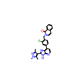 Cc1nn(C)c(C)c1-c1nc2c(-c3ccc(Cn4ccc5ccccc5c4=O)c(F)c3)ccnc2[nH]1